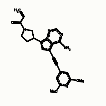 C=CC(=O)N1CCC(c2cc(C#Cc3cc(OC)nc(OC)c3)c3c(N)ncnn23)C1